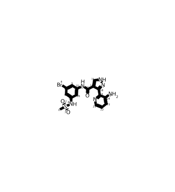 CS(=O)(=O)Nc1cc(Br)cc(NC(=O)c2c[nH]nc2-c2ncccc2N)c1